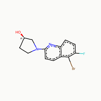 O[C@@H]1CCN(c2ccc3c(Br)c(F)ccc3n2)C1